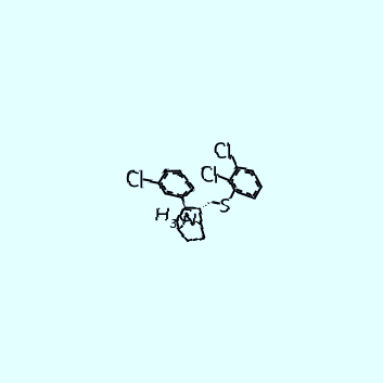 CN1C2CCC1[C@@H](CSc1cccc(Cl)c1Cl)[C@H](c1cccc(Cl)c1)C2